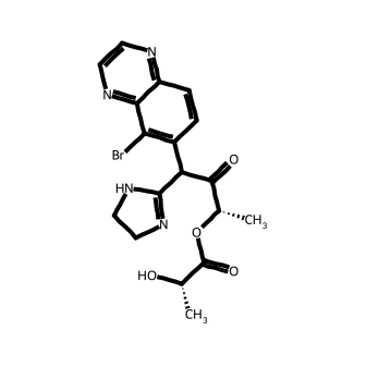 C[C@H](O)C(=O)O[C@@H](C)C(=O)C(C1=NCCN1)c1ccc2nccnc2c1Br